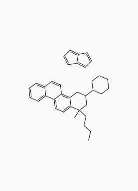 C1=CC2=CC=CC2=C1.CCCCC1(C)CC(C2CCCCC2)Cc2c1ccc1c2ccc2ccccc21